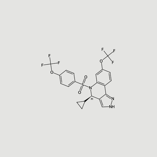 O=S(=O)(c1ccc(OC(F)(F)F)cc1)N1c2cc(OC(F)(F)F)ccc2-c2n[nH]cc2[C@H]1C1CC1